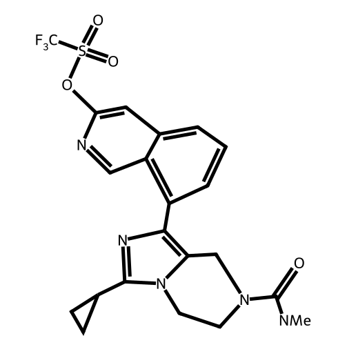 CNC(=O)N1CCn2c(C3CC3)nc(-c3cccc4cc(OS(=O)(=O)C(F)(F)F)ncc34)c2C1